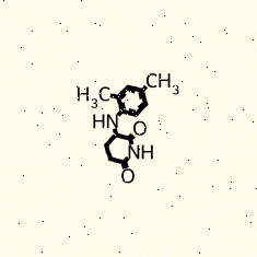 Cc1ccc(NC2CCC(=O)NC2=O)c(C)c1